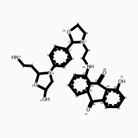 [NH]CCC1OC(O)CN1c1ccc(C2OCCN2CCNc2cc[c]c3c2C(=O)c2c(O)cccc2C3=O)cc1